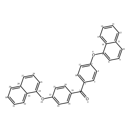 O=C(c1ccc(Oc2cccc3ccccc23)cc1)c1ccc(Oc2cccc3ccccc23)cc1